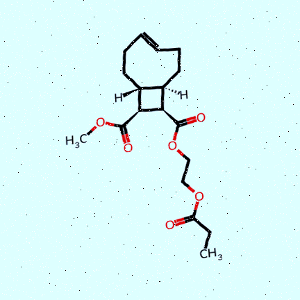 CCC(=O)OCCOC(=O)[C@@H]1[C@@H]2CC/C=C/CC[C@H]2[C@@H]1C(=O)OC